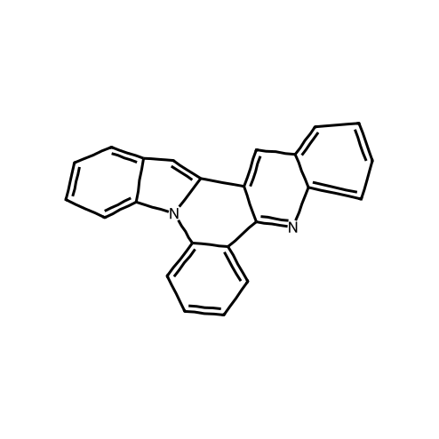 c1ccc2nc3c4ccccc4n4c5ccccc5cc4c3cc2c1